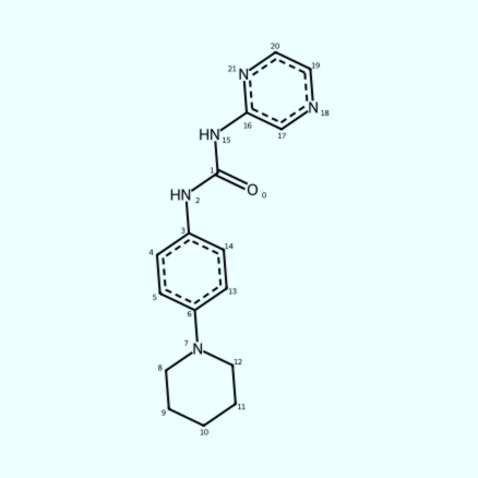 O=C(Nc1ccc(N2CCCCC2)cc1)Nc1cnccn1